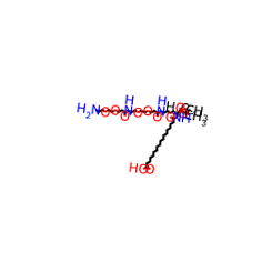 CC(C)(C)OC(=O)[C@H](CCCCNC(=O)CCOCCOCCNC(=O)CCOCCOCCN)NC(=O)CCCCCCCCCCCCCCCCC(=O)O